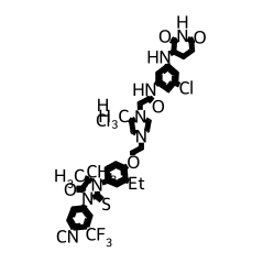 CCc1cc(N2C(=S)N(c3ccc(C#N)c(C(F)(F)F)c3)C(=O)C2(C)C)ccc1OCCN1CCN(CC(=O)Nc2cc(Cl)cc(NC3CCC(=O)NC3=O)c2)C(C)C1.Cl